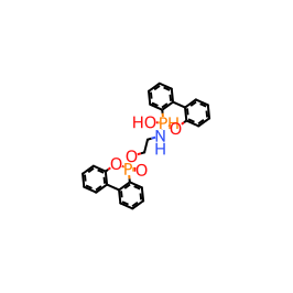 O=P1(OCCN[PH]2(O)Oc3ccccc3-c3ccccc32)Oc2ccccc2-c2ccccc21